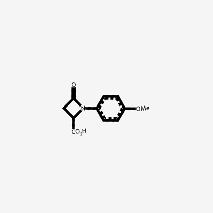 COc1ccc(N2C(=O)CC2C(=O)O)cc1